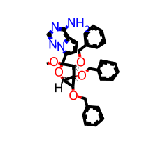 COC1(c2ccc3c(N)ncnn23)O[C@@H]2C(OCc3ccccc3)[C@]2(OCc2ccccc2)[C@H]1OCc1ccccc1